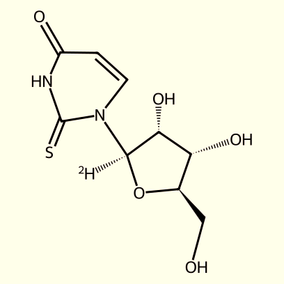 [2H][C@@]1(n2ccc(=O)[nH]c2=S)O[C@H](CO)[C@@H](O)[C@H]1O